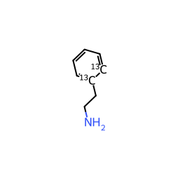 NCC[13c]1cccc[13cH]1